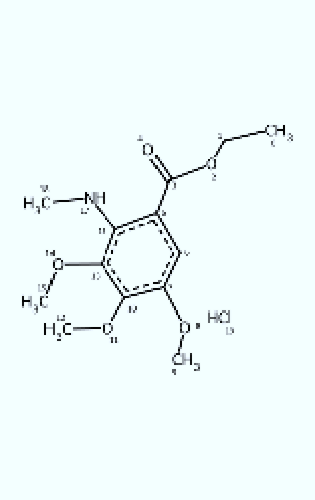 CCOC(=O)c1cc(OC)c(OC)c(OC)c1NC.Cl